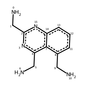 NCc1nc(CN)c2c(CN)cccc2n1